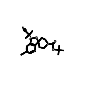 Cc1cnc2c(c1)[C@H](C(C)(C)C#N)OC21CCN(C(=O)OC(C)(C)C)CC1